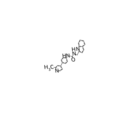 Cc1cc(-c2ccc(NC(=O)NCc3ccc4ccccc4n3)cc2)ccn1